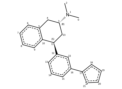 CN(C)[C@H]1Cc2ccccc2[C@H](c2cccc(-c3cccs3)c2)C1